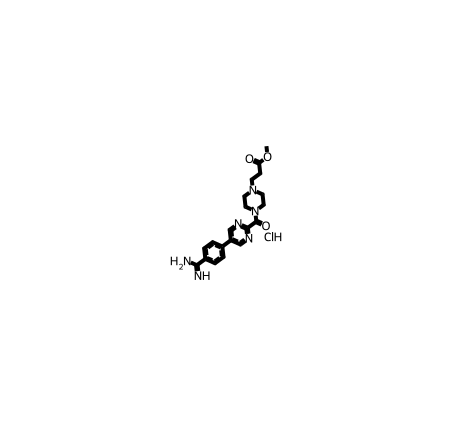 COC(=O)CCN1CCN(C(=O)c2ncc(-c3ccc(C(=N)N)cc3)cn2)CC1.Cl